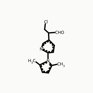 Cc1ccc(C)n1-c1ccc(C(C=O)CCl)cn1